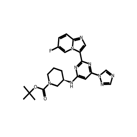 CC(C)(C)OC(=O)N1CCC[C@@H](Nc2cc(-n3cncn3)nc(-c3cnc4ccc(F)cn34)n2)C1